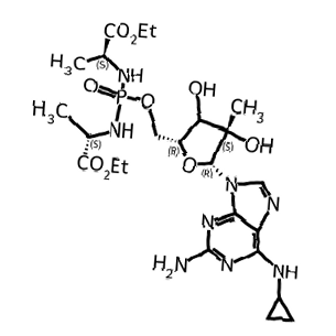 CCOC(=O)[C@H](C)NP(=O)(N[C@@H](C)C(=O)OCC)OC[C@H]1O[C@@H](n2cnc3c(NC4CC4)nc(N)nc32)[C@@](C)(O)C1O